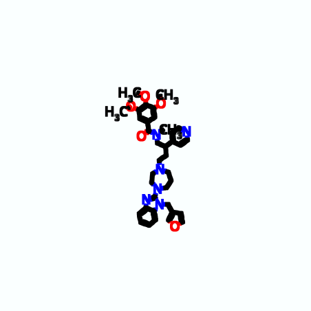 COc1cc(C(=O)N(C)CC(CCN2CCCN(c3nc4ccccc4n3Cc3ccoc3)CC2)c2ccncc2)cc(OC)c1OC